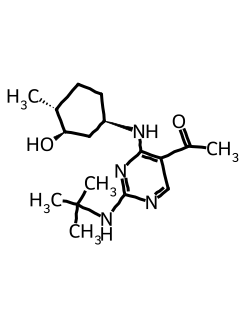 CC(=O)c1cnc(NC(C)(C)C)nc1N[C@@H]1CC[C@@H](C)[C@H](O)C1